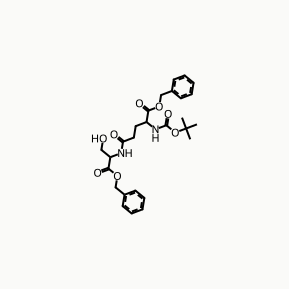 CC(C)(C)OC(=O)NC(CCC(=O)NC(CO)C(=O)OCc1ccccc1)C(=O)OCc1ccccc1